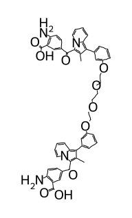 Cc1c(-c2cccc(OCCOCCOCCOc3cccc(-c4c(C)c(C(=O)c5ccc(N)c(C(=O)O)c5)n5ccccc45)c3)c2)c2ccccn2c1C(=O)c1ccc(N)c(C(=O)O)c1